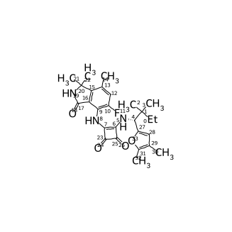 CCC(C)(C)[C@@H](Nc1c(Nc2c(F)cc(C)c3c2C(=O)NC3(C)C)c(=O)c1=O)c1cc(C)c(C)o1